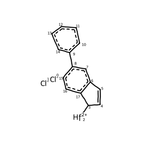 [Cl-].[Cl-].[Hf+2][CH]1C=Cc2cc(-c3ccccc3)ccc21